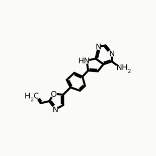 C=Cc1ncc(-c2ccc(-c3cc4c(N)ncnc4[nH]3)cc2)o1